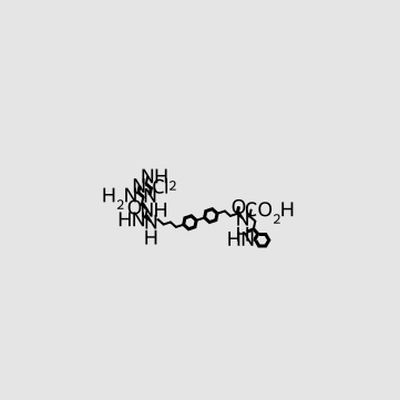 N=C(NCCCCc1ccc(-c2ccc(CCC(=O)NC(Cc3c[nH]c4ccccc34)C(=O)O)cc2)cc1)NC(=O)c1nc(Cl)c(N)nc1N